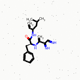 C=CC(CC(C)C)NC(=O)[C@H](Cc1ccccc1)NC(=C)C(=N)C=N